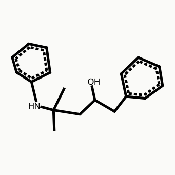 CC(C)(CC(O)Cc1ccccc1)Nc1ccccc1